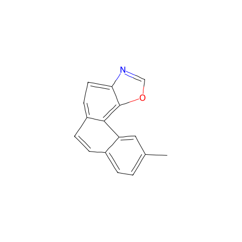 Cc1ccc2ccc3ccc4ncoc4c3c2c1